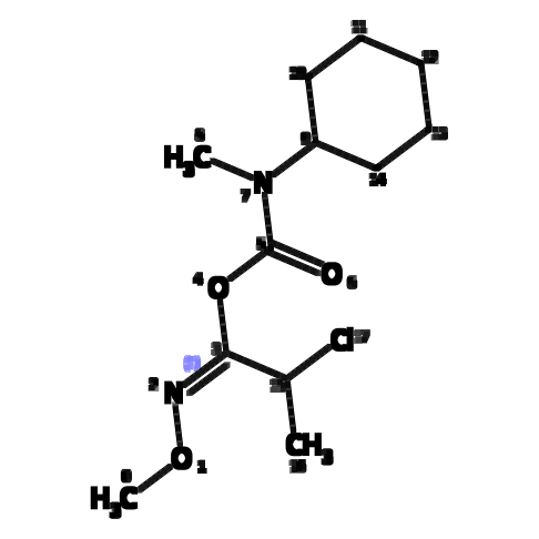 CO/N=C(/OC(=O)N(C)C1CCCCC1)C(C)Cl